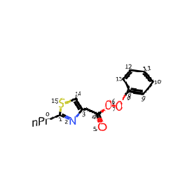 CCCc1nc(C(=O)OOc2ccccc2)cs1